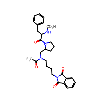 O=C(O)NC(Cc1ccccc1)C(=O)N1CCCC1CN(CCCCN1C(=O)c2ccccc2C1=O)C(=O)C(F)(F)F